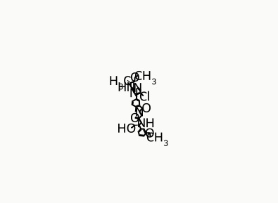 COC[C@H](C)Nc1ncc(Cl)c(-c2ccc3c(c2)C(=O)N(CC(=O)N[C@H](CO)c2cccc(OC)c2)C3)n1